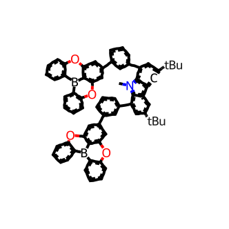 Cn1c2c(-c3cccc(-c4cc5c6c(c4)Oc4ccccc4B6c4ccccc4O5)c3)cc(C(C)(C)C)cc2c2cc(C(C)(C)C)cc(-c3cccc(-c4cc5c6c(c4)Oc4ccccc4B6c4ccccc4O5)c3)c21